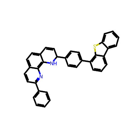 C1=CC(c2ccc(-c3cccc4c3sc3ccccc34)cc2)Nc2c1ccc1ccc(-c3ccccc3)nc21